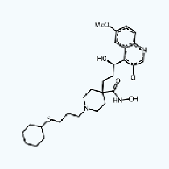 COc1ccc2ncc(Cl)c([C@H](O)CCC3(C(=O)NO)CCN(CCCSC4CCCCC4)CC3)c2c1